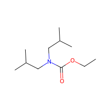 CCOC(=O)N(CC(C)C)CC(C)C